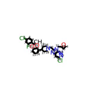 CC1(c2ccc(Cl)cc2F)Oc2cccc(C3CCN(Cc4nc5cc(Cl)nnc5n4CC4CCO4)CC3)c2O1